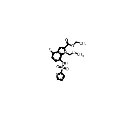 CCOC(=O)c1cc2c(F)ccc(NS(=O)(=O)c3cccs3)c2n1COC